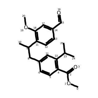 COC(=O)c1ccc(CC(C)c2ccc(C=O)cc2OC)cc1C(C)C